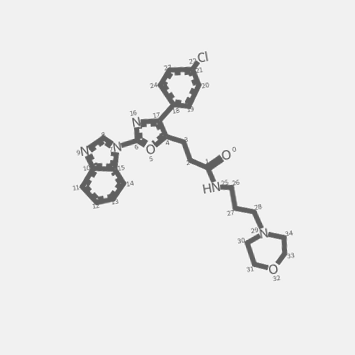 O=C(CCc1oc(-n2cnc3ccccc32)nc1-c1ccc(Cl)cc1)NCCCN1CCOCC1